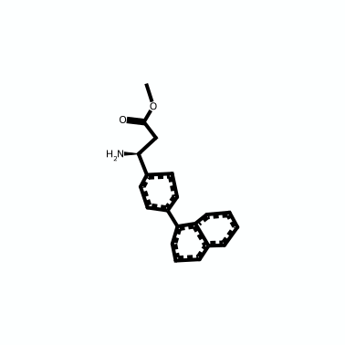 COC(=O)C[C@H](N)c1ccc(-c2cccc3ccccc23)cc1